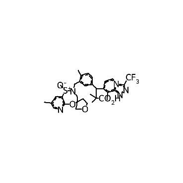 Cc1cnc2c(c1)[S+]([O-])N(Cc1cc(C(c3ccn4c(C(F)(F)F)nnc4c3C)C(C)(C)C(=O)O)ccc1C)CC1(CCOC1)O2